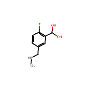 CC(C)(C)BCc1ccc(F)c(B(O)O)c1